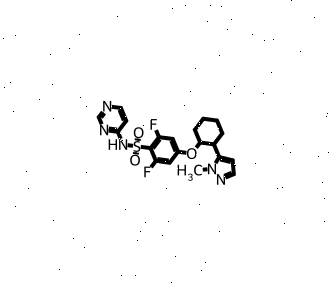 Cn1nccc1C1CCCCC1Oc1cc(F)c(S(=O)(=O)Nc2ccncn2)c(F)c1